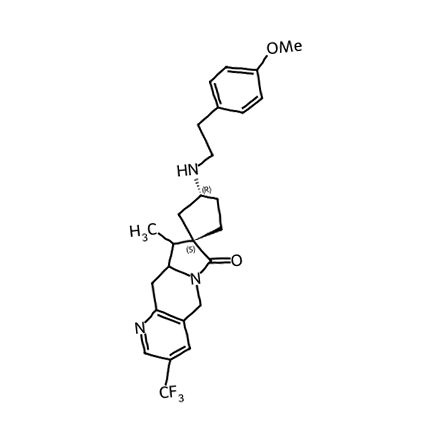 COc1ccc(CCN[C@@H]2CC[C@@]3(C2)C(=O)N2Cc4cc(C(F)(F)F)cnc4CC2C3C)cc1